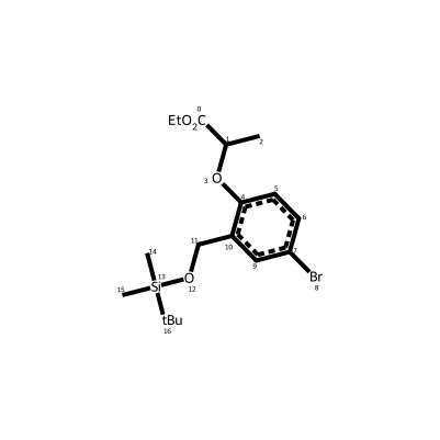 CCOC(=O)C(C)Oc1ccc(Br)cc1CO[Si](C)(C)C(C)(C)C